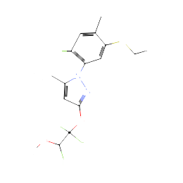 CCOC(=O)c1cc(OC(F)(F)C(F)OC(F)(F)F)nn1-c1cc(SCC(F)(F)F)c(C)cc1F